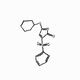 O=C1N=C(OC2CCCCC2)C=C1S(=O)(=O)c1ccccc1